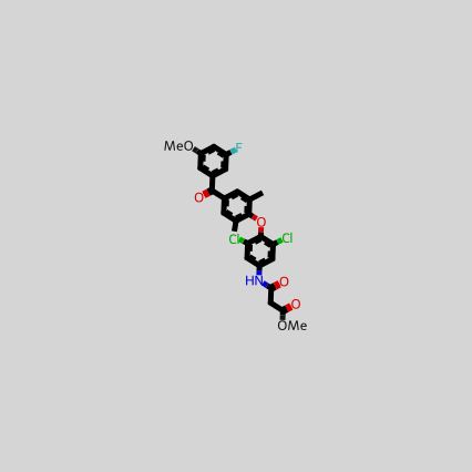 COC(=O)CC(=O)Nc1cc(Cl)c(Oc2c(C)cc(C(=O)c3cc(F)cc(OC)c3)cc2C)c(Cl)c1